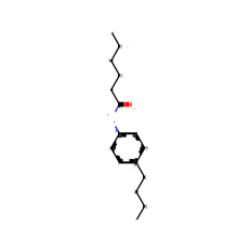 [CH2]CCCc1ccc(NC(=O)CCCCC)cc1